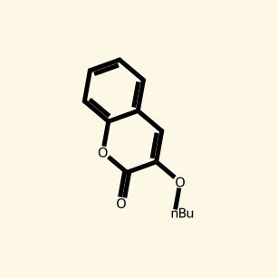 CCCCOc1cc2ccccc2oc1=O